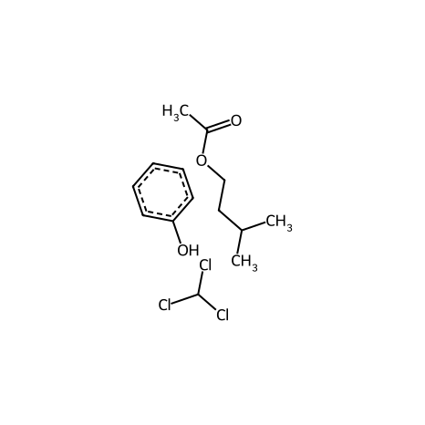 CC(=O)OCCC(C)C.ClC(Cl)Cl.Oc1ccccc1